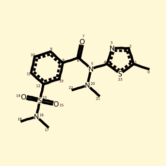 Cc1cnc(N(C(=O)c2cccc(S(=O)(=O)N(C)C)c2)N(C)C)s1